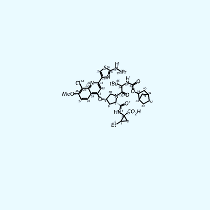 CCC1C[C@]1(NC(=O)[C@@H]1C[C@@H](Oc2cc(-c3csc(NC(C)C)n3)nc3c(Cl)c(OC)ccc23)CN1C(=O)C(NC(=O)OC1CC2CCC1C2)C(C)(C)C)C(=O)O